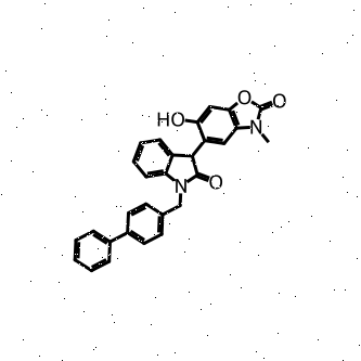 Cn1c(=O)oc2cc(O)c(C3C(=O)N(Cc4ccc(-c5ccccc5)cc4)c4ccccc43)cc21